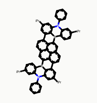 CC(C)c1ccc2c(c1)N(c1ccccc1)c1cc(C(C)C)cc3c1B2c1cc2ccc4c5c(cc6ccc-3c1c6c25)B1c2ccc(C(C)C)cc2N(c2ccccc2)c2cc(C(C)C)cc-4c21